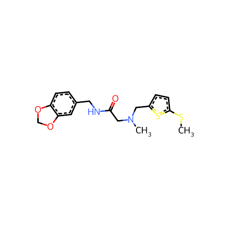 CSc1ccc(CN(C)CC(=O)NCc2ccc3c(c2)OCO3)s1